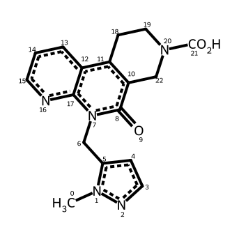 Cn1nccc1Cn1c(=O)c2c(c3cccnc31)CCN(C(=O)O)C2